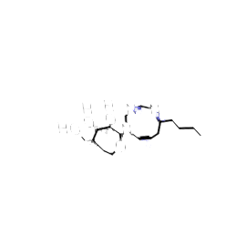 CCCC/C1=N/C=N\CN([C@@H]2OCC[C@H](CO)[C@@H](O)[C@H]2O)/C=C\C1